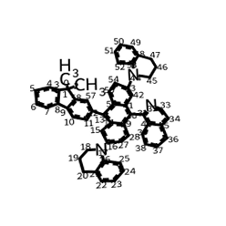 CC1(C)c2ccccc2-c2ccc(-c3c4cc(N5CCCc6ccccc65)ccc4c(-c4nccc5ccccc45)c4cc(N5CCCc6ccccc65)ccc34)cc21